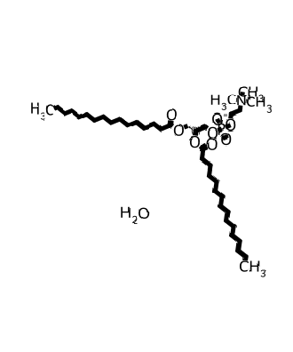 CCCCCCCCCCCCCCCC(=O)OC[C@H](COP(=O)([O-])OCC[N+](C)(C)C)OC(=O)CCCCCCCCCCCCCCC.O